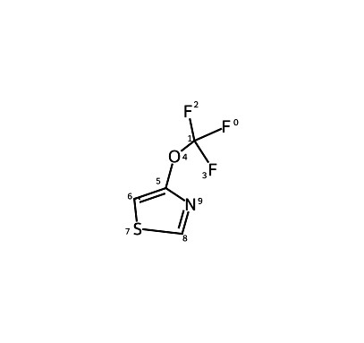 FC(F)(F)Oc1[c]scn1